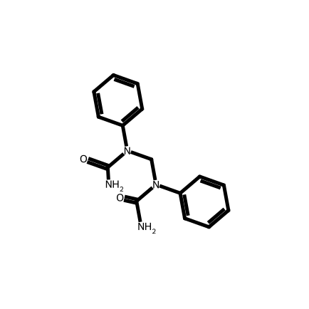 NC(=O)N(CN(C(N)=O)c1ccccc1)c1ccccc1